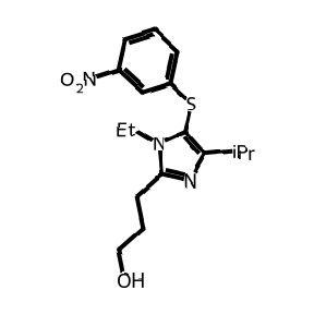 CCn1c(CCCO)nc(C(C)C)c1Sc1cccc([N+](=O)[O-])c1